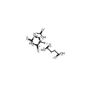 CC(=O)O.O=C(O)CCC(=O)O.O=c1[nH]cc(F)c(=O)[nH]1